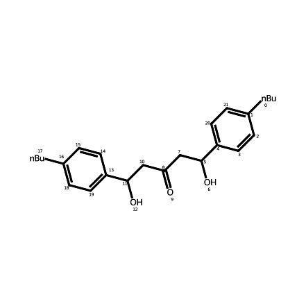 CCCCc1ccc(C(O)CC(=O)CC(O)c2ccc(CCCC)cc2)cc1